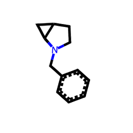 c1ccc(CN2CCC3CC32)cc1